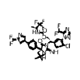 C[C@H](NC(=O)OC[C@H](c1ccc(Cl)c(-n2ncnc2C(F)F)c1)N1C(=N)N[C@](CC(C)(C)C)(c2ccc(-c3cnn(C(F)F)c3)cc2)C1=O)C(F)(F)F